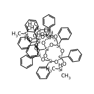 C[SiH2]O[Si]1(c2ccccc2)O[Si]2(c3ccccc3)O[Si](O[SiH](C)C)(c3ccccc3)O[Si](c3ccccc3)(O1)O[Si]1(c3ccccc3)O[Si](O[SiH](C)C)(c3ccccc3)O[Si](c3ccccc3)(O[Si](O[SiH](C)C)(c3ccccc3)O1)O2